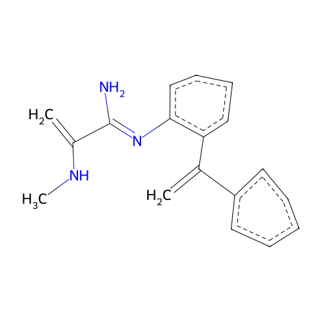 C=C(NC)/C(N)=N/c1ccccc1C(=C)c1ccccc1